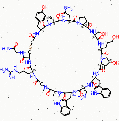 CCCC[C@H]1C(=O)N[C@@H](CC(N)=O)C(=O)N2CCC[C@H]2C(=O)N[C@@H](CO)C(=O)N[C@@H](CCCO)C(=O)N2C[C@H](O)C[C@H]2C(=O)N[C@@H](Cc2c[nH]c3ccccc23)C(=O)N[C@@H](CN)C(=O)N[C@@H](Cc2c[nH]c3ccccc23)C(=O)N(C)[C@@H](C)C(=O)N(C)CC(=O)N[C@@H](CCCNC(=N)N)C(=O)NC(C(=O)NCC(N)=O)CSCC(=O)N[C@@H](Cc2ccc(O)cc2)C(=O)N1C